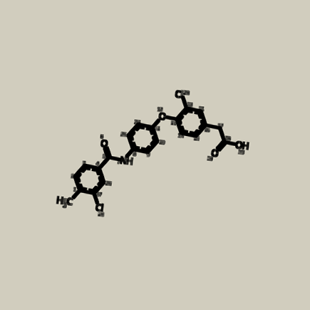 Cc1ccc(C(=O)Nc2ccc(Oc3ccc(CC(=O)O)cc3Cl)cc2)cc1Cl